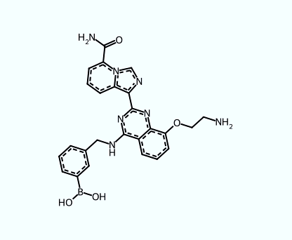 NCCOc1cccc2c(NCc3cccc(B(O)O)c3)nc(-c3ncn4c(C(N)=O)cccc34)nc12